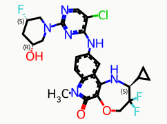 Cn1c(=O)c2c(c3cc(Nc4nc(N5C[C@H](O)C[C@H](F)C5)ncc4Cl)ccc31)N[C@@H](C1CC1)C(F)(F)CO2